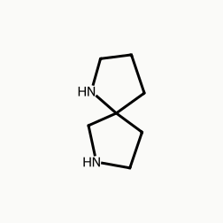 C1CNC2(C1)CCNC2